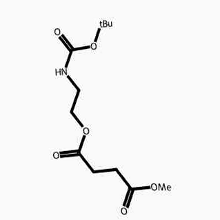 COC(=O)CCC(=O)OCCNC(=O)OC(C)(C)C